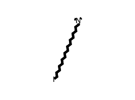 CN(C)CCCCCCCCCCCCCCCCCI